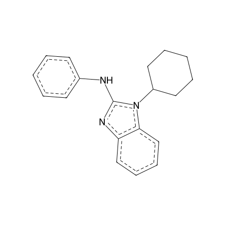 c1ccc(Nc2nc3ccccc3n2C2CCCCC2)cc1